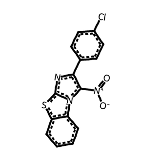 O=[N+]([O-])c1c(-c2ccc(Cl)cc2)nc2sc3ccccc3n12